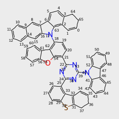 C1=Cc2c(ccc3c4cc5ccccc5cc4n(-c4ccc(-c5nc(-c6cccc7sc8c(c67)C=CCC8)nc(-n6c7ccccc7c7ccccc76)n5)c5oc6ccccc6c45)c23)CC1